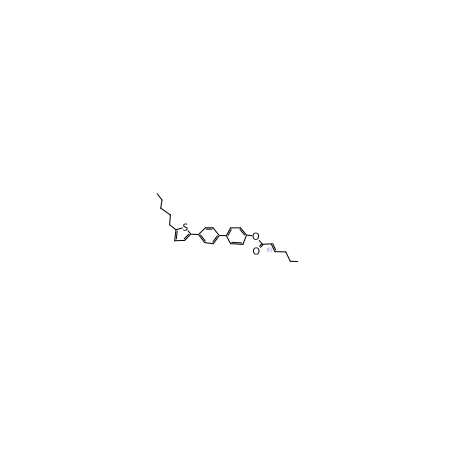 CCC/C=C/C(=O)Oc1ccc(-c2ccc(-c3ccc(CCCCC)s3)cc2)cc1